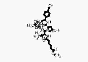 C#Cc1ccc(C(CO[Si](C)(C)C(C)(C)C)NC(=O)[C@@H]2C[C@@H](O)CN2C(=O)C(NC(=O)CCCCC(=O)OC)C(C)(C)C)cc1